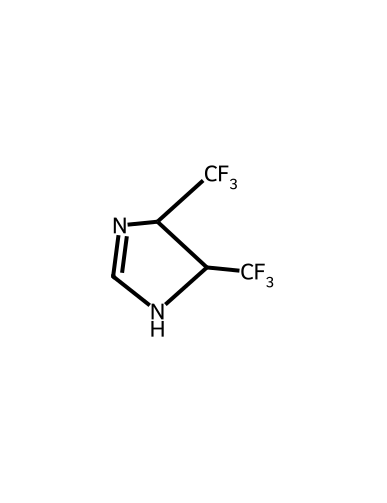 FC(F)(F)C1N=CNC1C(F)(F)F